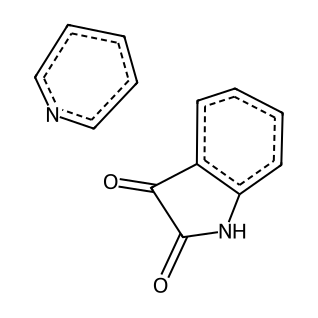 O=C1Nc2ccccc2C1=O.c1ccncc1